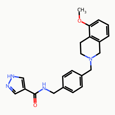 COc1cccc2c1CCN(Cc1ccc(CNC(=O)c3cn[nH]c3)cc1)C2